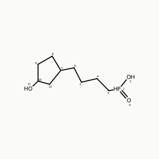 O=[PH](O)CCCCC1CCC(O)C1